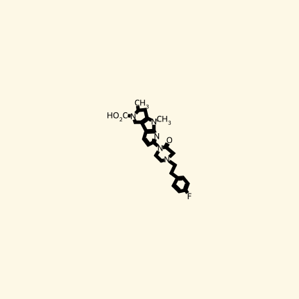 CC1Cc2c(c3ccc(N4CCN(CCc5ccc(F)cc5)CC4=O)nc3n2C)CN1C(=O)O